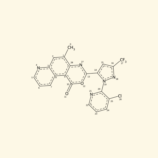 Cc1cc2ncccc2c2c(=O)oc(-c3cc(C(F)(F)F)nn3-c3ncccc3Cl)nc12